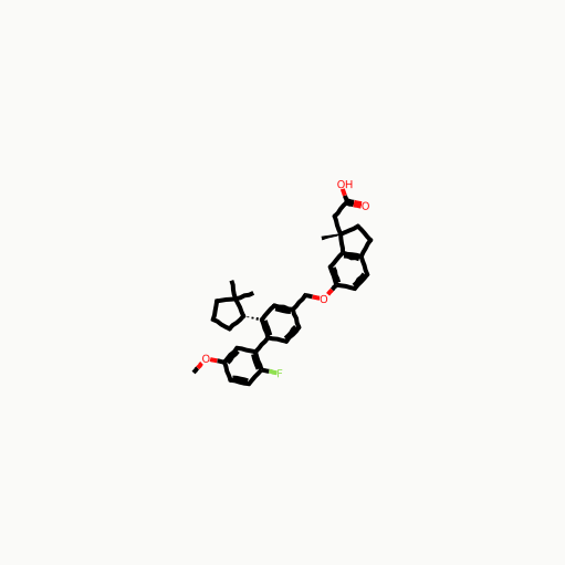 COc1ccc(F)c(-c2ccc(COc3ccc4c(c3)[C@](C)(CC(=O)O)CC4)cc2[C@@H]2CCCC2(C)C)c1